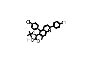 Cc1cc2nc(-c3ccc(Cl)cc3)ccc2c(-c2ccc(Cl)cc2)c1[C@H](OC(C)(C)C)C(=O)O